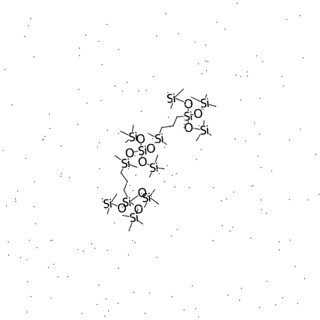 C[Si](C)(C)O[Si](CCC[Si](C)(C)O[Si](O[Si](C)(C)C)(O[Si](C)(C)C)O[Si](C)(C)CCC[Si](O[Si](C)(C)C)(O[Si](C)(C)C)O[Si](C)(C)C)(O[Si](C)(C)C)O[Si](C)(C)C